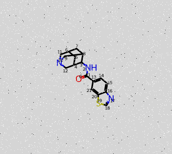 O=C(NC1C2CC3CC1CN(C3)C2)c1ccc2ncsc2c1